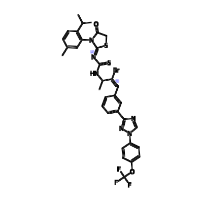 Cc1ccc(C(C)C)c(N2C(=O)CS/C2=N\C(=S)NC(C)/C(Br)=C\c2cccc(-c3ncn(-c4ccc(OC(F)(F)F)cc4)n3)c2)c1